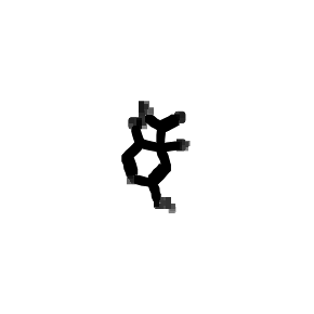 CC(=O)C1(Br)C=C(C)N=CC1O